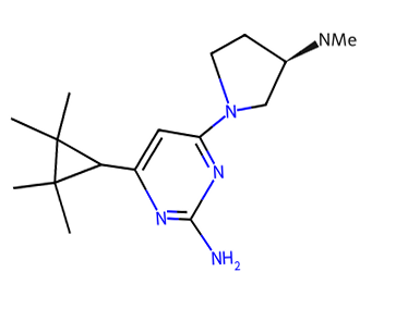 CN[C@@H]1CCN(c2cc(C3C(C)(C)C3(C)C)nc(N)n2)C1